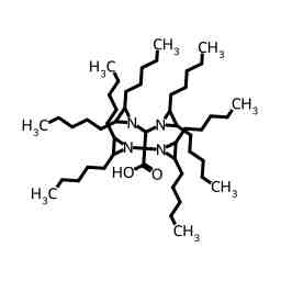 CCCCCC1C(CCCCC)N1C(N1C(CCCCC)C1CCCCC)C(C(=O)O)(N1C(CCCCC)C1CCCCC)N1C(CCCCC)C1CCCCC